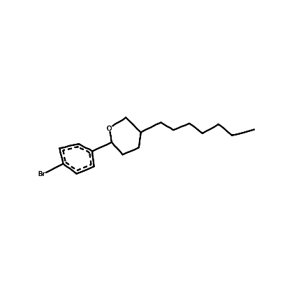 CCCCCCCC1CCC(c2ccc(Br)cc2)OC1